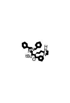 CC(C)(C)C(c1nc(-c2ccccc2)cn1Cc1ccccc1)[C@@H](CCCc1ncc[nH]1)C(=O)c1ccccc1